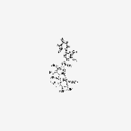 CC(=O)NC1C(O)C(O)[C@H](CO)O[C@@H]1O[C@@H]1O[C@H](C[C@@H](O)C2O[C@@H](n3ccc(=O)[nH]c3=O)[C@H](O)[C@@H]2O)C(O)C(O)C1NC(C)=O